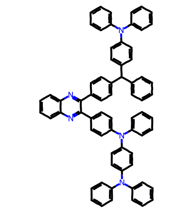 c1ccc(C(c2ccc(-c3nc4ccccc4nc3-c3ccc(N(c4ccccc4)c4ccc(N(c5ccccc5)c5ccccc5)cc4)cc3)cc2)c2ccc(N(c3ccccc3)c3ccccc3)cc2)cc1